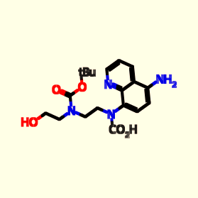 CC(C)(C)OC(=O)N(CCO)CCN(C(=O)O)c1ccc(N)c2cccnc12